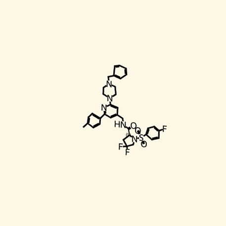 Cc1ccc(-c2cc(CNC(=O)[C@@H]3CC(F)(F)CN3S(=O)(=O)c3ccc(F)cc3)cc(N3CCN(Cc4ccccc4)CC3)n2)cc1